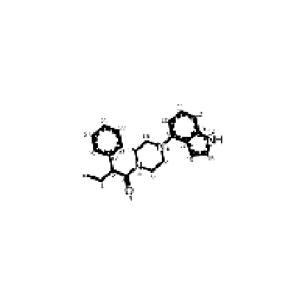 CCC(C(=O)N1CCN(c2cccc3[nH]ccc23)CC1)c1ccccc1